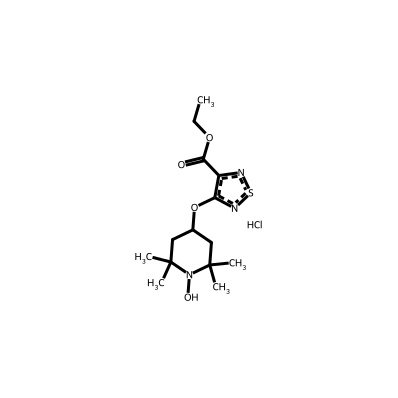 CCOC(=O)c1nsnc1OC1CC(C)(C)N(O)C(C)(C)C1.Cl